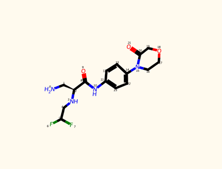 NC[C@H](NCC(F)F)C(=O)Nc1ccc(N2CCOCC2=O)cc1